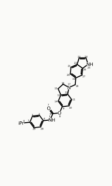 CC(C)c1ccc(NC(=O)Oc2ccc3c(c2)CCN3Cc2ccc3cc[nH]c3c2)cc1